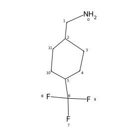 NCC1CCC(C(F)(F)F)CC1